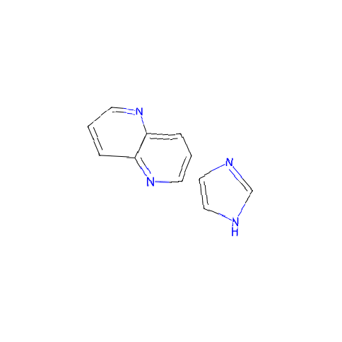 c1c[nH]cn1.c1cnc2cccnc2c1